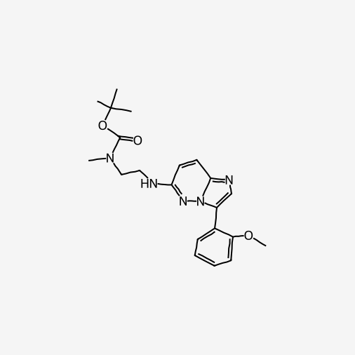 COc1ccccc1-c1cnc2ccc(NCCN(C)C(=O)OC(C)(C)C)nn12